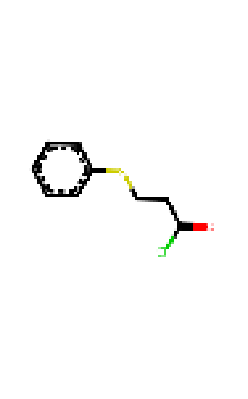 O=C(Cl)CCSc1ccccc1